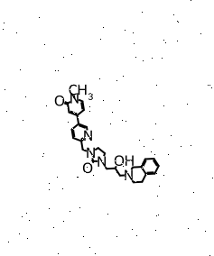 Cn1ccc(-c2ccc(CN3CCN(CC(O)CN4CCc5ccccc5C4)C3=O)nc2)cc1=O